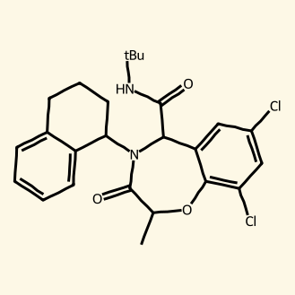 CC1Oc2c(Cl)cc(Cl)cc2C(C(=O)NC(C)(C)C)N(C2CCCc3ccccc32)C1=O